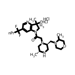 CCCC(F)(F)c1cnc2c(c1)N(C(=O)CN1C[C@@H](C)NC[C@@H]1CN1CCOCC1C)CC2(C)C.Cl.Cl